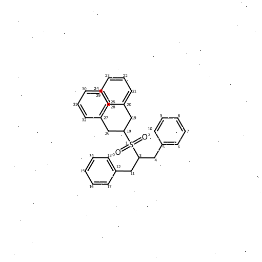 O=S(=O)(C(Cc1ccccc1)Cc1ccccc1)C(Cc1ccccc1)Cc1ccccc1